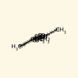 CCCCCCCCCCCCOC(=O)CC(C)(C)C1=CC(=O)C(C(C)(C)CC(=O)OCCCCCCCCCCCC)=CC1=O